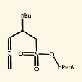 C=C=CC(CCCC)CS(=O)(=O)OCCCCC